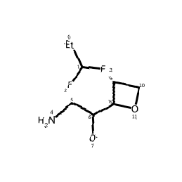 C[CH]C(F)F.NCC([O])C1CCO1